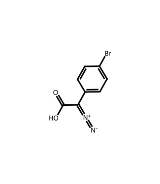 [N-]=[N+]=C(C(=O)O)c1ccc(Br)cc1